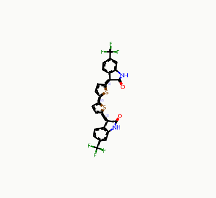 O=C1Nc2cc(C(F)(F)F)ccc2/C1=c1\cc/c(=c2\cc/c(=C3/C(=O)Nc4cc(C(F)(F)F)ccc43)s2)s1